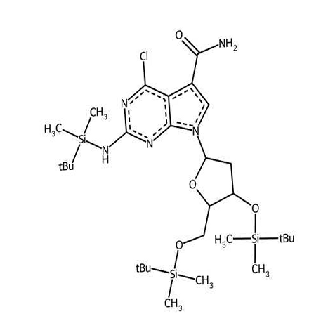 CC(C)(C)[Si](C)(C)Nc1nc(Cl)c2c(C(N)=O)cn(C3CC(O[Si](C)(C)C(C)(C)C)C(CO[Si](C)(C)C(C)(C)C)O3)c2n1